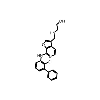 OCCNCc1coc2c(Nc3cccc(-c4ccccc4)c3Cl)nccc12